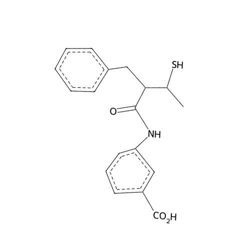 CC(S)C(Cc1ccccc1)C(=O)Nc1cccc(C(=O)O)c1